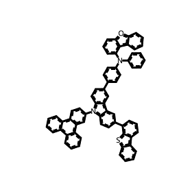 c1ccc(N(c2ccc(-c3ccc4c(c3)c3cc(-c5cccc6c5sc5ccccc56)ccc3n4-c3ccc4c5ccccc5c5ccccc5c4c3)cc2)c2cccc3oc4ccccc4c23)cc1